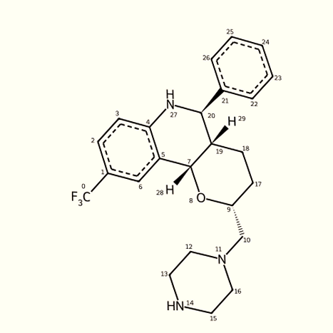 FC(F)(F)c1ccc2c(c1)[C@H]1O[C@@H](CN3CCNCC3)CC[C@H]1[C@H](c1ccccc1)N2